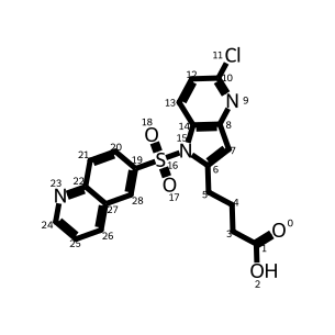 O=C(O)CCCc1cc2nc(Cl)ccc2n1S(=O)(=O)c1ccc2ncccc2c1